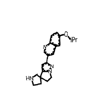 CC(C)Oc1ccc2ncc(-c3cc4n(n3)CCC43CCNC3)cc2c1